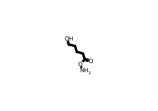 NOC(=O)CCCCO